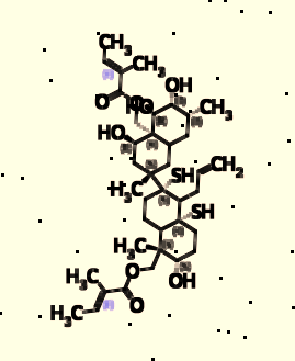 C=CCC1[C@@]2(S)CC[C@H](O)[C@](C)(COC(=O)/C(C)=C/C)C2CC[C@@]1(S)[C@@]1(C)CC2C[C@@H](C)[C@@H](O)[C@H](O)[C@]2(COC(=O)/C(C)=C/C)[C@H](O)C1